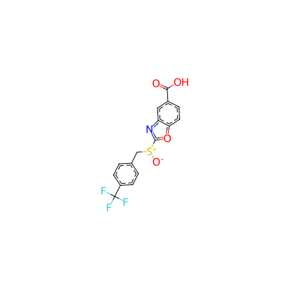 O=C(O)c1ccc2oc([S+]([O-])Cc3ccc(C(F)(F)F)cc3)nc2c1